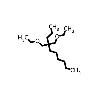 CCCCCCC(CCC)(COCC)COCC